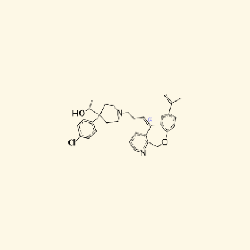 C=C(C)c1ccc2c(c1)/C(=C/CCN1CCC(c3ccc(Cl)cc3)(C(C)O)CC1)c1cccnc1CO2